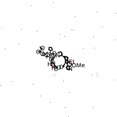 CCn1c(-c2cccnc2[C@H](C)OC)c2c3cc(ccc31)C1=CCCN(C1)C[C@H](NC(=O)[C@H](C1CCCC1)N1CC[C@]3(CCN(C(=O)[C@H]4CO4)C3)C1)C(=O)N1CCC[C@H](N1)C(=O)OCC(C)(C)C2